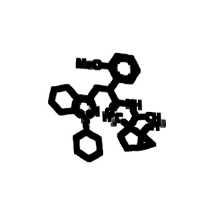 COc1ccccc1C(Cc1nn(C2CCCCC2)c2c1CCCC2)C(=O)NC(C)C1(C)CCC2CC21C(C)C